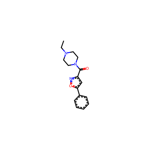 CCN1CCN(C(=O)c2cc(-c3ccccc3)on2)CC1